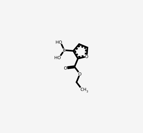 CCOC(=O)c1occc1B(O)O